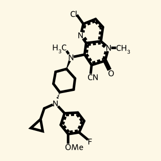 COc1cc(N(CC2CC2)[C@H]2CC[C@H](N(C)c3c(C#N)c(=O)n(C)c4ccc(Cl)nc34)CC2)ccc1F